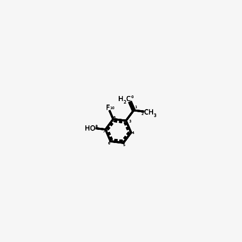 C=C(C)c1cccc(O)c1F